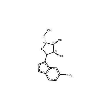 O=[N+]([O-])c1ccc2ccn(C3O[C@H](CO)[C@@H](O)[C@H]3O)c2c1